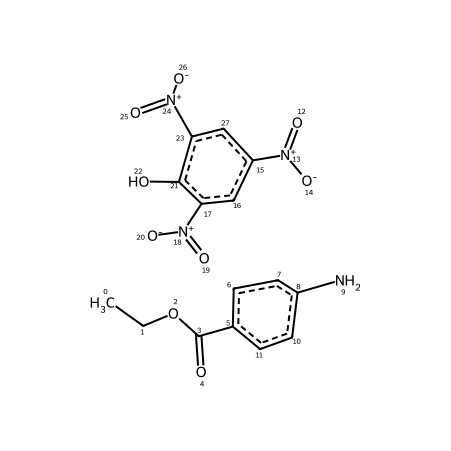 CCOC(=O)c1ccc(N)cc1.O=[N+]([O-])c1cc([N+](=O)[O-])c(O)c([N+](=O)[O-])c1